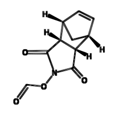 O=CON1C(=O)[C@@H]2[C@H](C1=O)[C@@H]1C=C[C@H]2C1